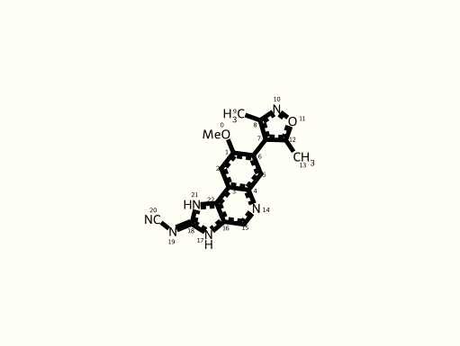 COc1cc2c(cc1-c1c(C)noc1C)ncc1[nH]c(=NC#N)[nH]c12